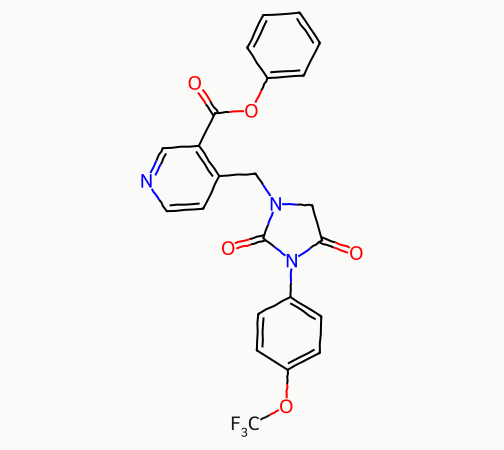 O=C(Oc1ccccc1)c1cnccc1CN1CC(=O)N(c2ccc(OC(F)(F)F)cc2)C1=O